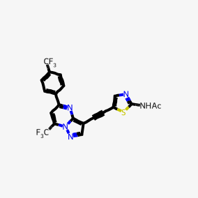 CC(=O)Nc1ncc(C#Cc2cnn3c(C(F)(F)F)cc(-c4ccc(C(F)(F)F)cc4)nc23)s1